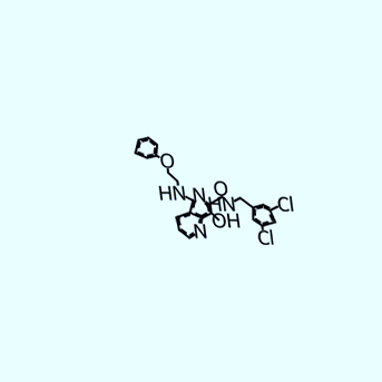 O=C(NCc1cc(Cl)cc(Cl)c1)c1nc(NCCOc2ccccc2)c2cccnc2c1O